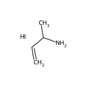 C=CC(C)N.I